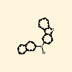 BrN(c1ccc2ccccc2c1)c1ccc2sc3ccccc3c2c1